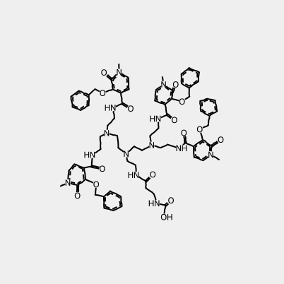 Cn1ccc(C(=O)NCCN(CCNC(=O)c2ccn(C)c(=O)c2OCc2ccccc2)CCN(CCNC(=O)CCNC(=O)O)CCN(CCNC(=O)c2ccn(C)c(=O)c2OCc2ccccc2)CCNC(=O)c2ccn(C)c(=O)c2OCc2ccccc2)c(OCc2ccccc2)c1=O